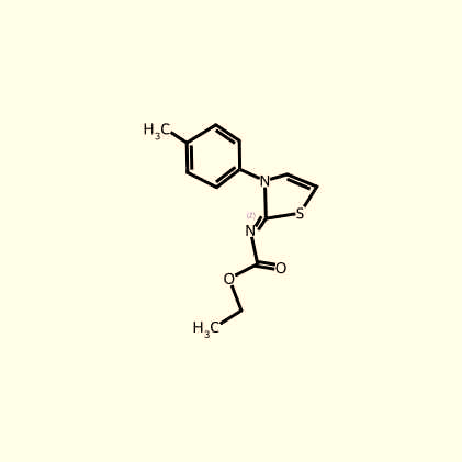 CCOC(=O)/N=c1\sccn1-c1ccc(C)cc1